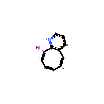 C1=C\C=C/c2ncccc2\C=C/1.I